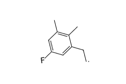 [CH2]Cc1cc(F)cc(C)c1C